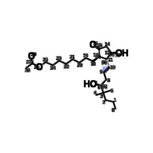 CCCC(C)(C)[C@@H](O)C/C=C/[C@H]1[C@H](O)CC(=O)[C@@H]1CCCCCCCCOC(C)=O